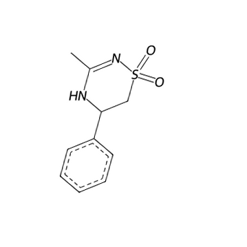 CC1=NS(=O)(=O)CC(c2ccccc2)N1